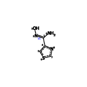 N/C(=N\O)c1cscn1